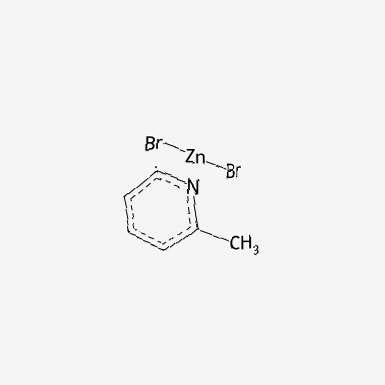 Cc1ccc[c]n1.[Br][Zn][Br]